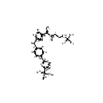 O=C(NCCOC(F)(F)F)c1coc(Cc2ccc(-c3noc(C(F)(F)F)n3)cc2)n1